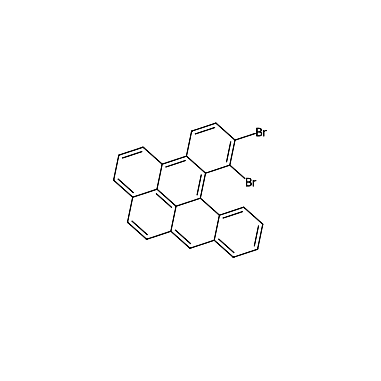 Brc1ccc2c3cccc4ccc5cc6ccccc6c(c2c1Br)c5c43